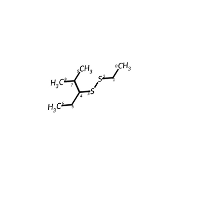 CCSSC(CC)C(C)C